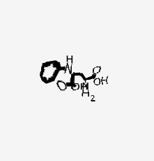 N[C@H](CC(Nc1ccccc1)C(=O)O)C(=O)O